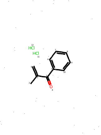 C=C(C)C(=O)c1ccccc1.Cl.Cl